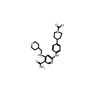 CCC(=O)N1CCC(c2ccc(Nc3cc(NCC4CCOCC4)c(C(N)=O)cn3)cc2)CC1